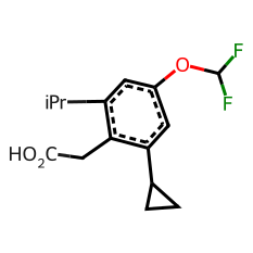 CC(C)c1cc(OC(F)F)cc(C2CC2)c1CC(=O)O